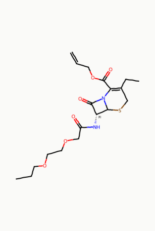 C=CCOC(=O)C1=C(CC)CSC2[C@H](NC(=O)COCCOCCC)C(=O)N12